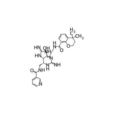 CC1(C)CCOc2c(C(=O)NC3CN4C(=N)N[C@@H](CNC(=O)c5cccnc5)C5NC(=N)NC54[C@@H]3O)cccc21